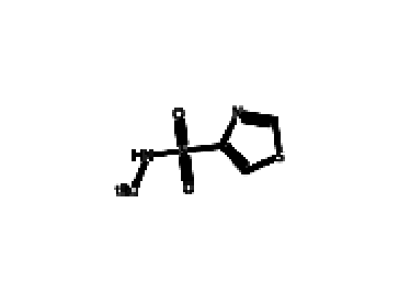 CC(C)(C)NS(=O)(=O)c1cscn1